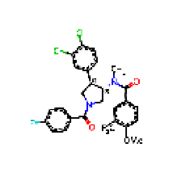 COc1ccc(C(=O)N(C)[C@@H]2CN(C(=O)c3ccc(F)cc3)C[C@H]2c2ccc(Cl)c(Cl)c2)cc1C(F)(F)F